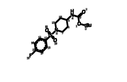 CC(C)(C)OC(=O)NC1CCN(S(=O)(=O)c2ccc(F)cc2)CC1